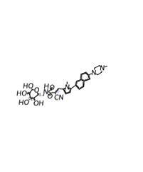 CN1CCN(c2ccc3cc(-c4ccc(/C=C(\C#N)S(=O)(=O)NC[C@H]5OC(O)[C@H](O)[C@@H](O)[C@@H]5O)n4C)ccc3c2)CC1